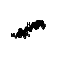 Cc1ccccc1N(c1ccc2cc3c(cc2c1)oc1cc2c(cc13)oc1cc3cc(N(c4ccccc4C)c4cc(C(C)(C)C)ccc4C)ccc3cc12)c1cc(C(C)(C)C)ccc1C